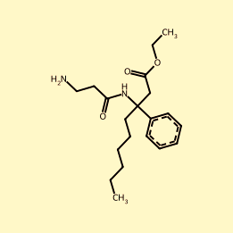 CCCCCCC(CC(=O)OCC)(NC(=O)CCN)c1ccccc1